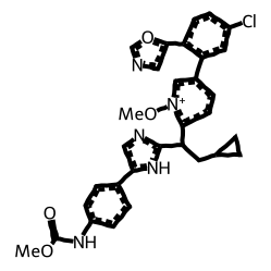 COC(=O)Nc1ccc(-c2cnc(C(CC3CC3)c3ccc(-c4cc(Cl)ccc4-c4cnco4)c[n+]3OC)[nH]2)cc1